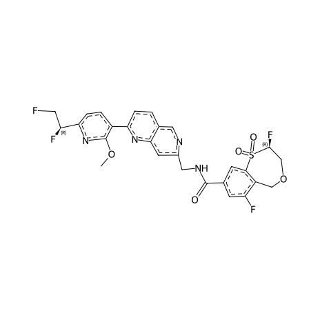 COc1nc([C@@H](F)CF)ccc1-c1ccc2cnc(CNC(=O)c3cc(F)c4c(c3)S(=O)(=O)[C@@H](F)COC4)cc2n1